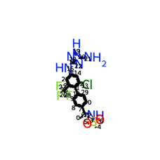 C[C@H](NS(C)(=O)=O)c1ccc(-c2c(Cl)cc(Nc3n[nH]c(N)n3)cc2C(F)(F)F)cc1